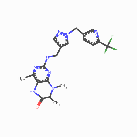 Cc1nc(NCc2cnn(Cc3ccc(C(F)(F)F)nc3)c2)nc2c1NC(=O)C(C)N2C